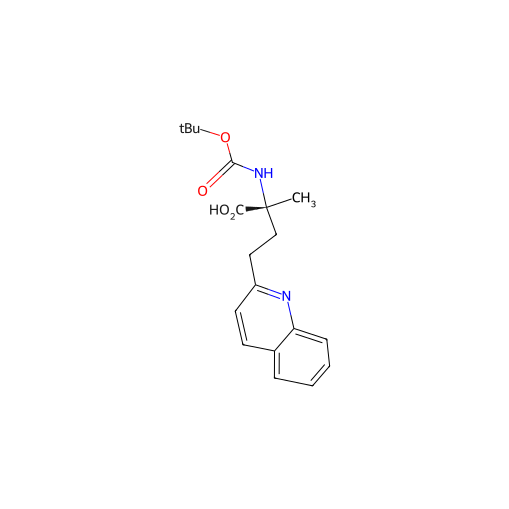 CC(C)(C)OC(=O)N[C@](C)(CCc1ccc2ccccc2n1)C(=O)O